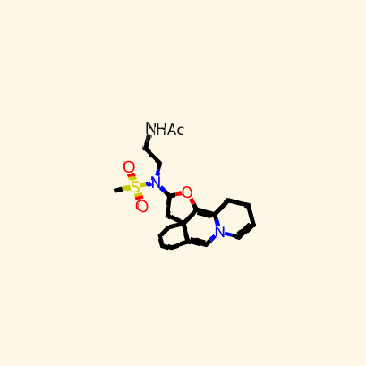 CC(=O)NCCN(C1CC23CCCCC2=CN2C=CCCC2=C3O1)S(C)(=O)=O